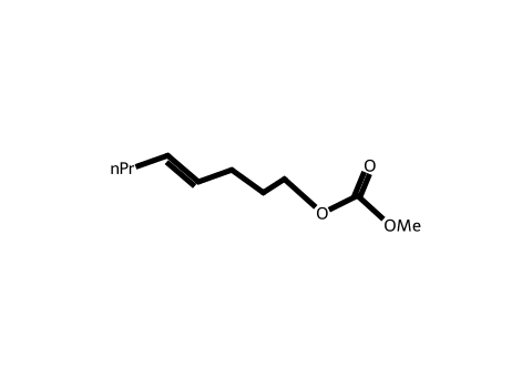 CCCC=CCCCOC(=O)OC